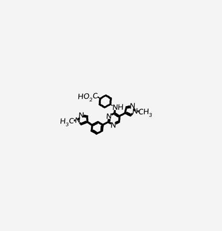 Cn1cc(-c2cccc(-c3ncc(-c4cnn(C)c4)c(N[C@H]4CC[C@H](C(=O)O)CC4)n3)c2)cn1